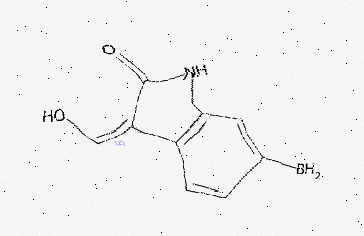 Bc1ccc2c(c1)NC(=O)/C2=C\O